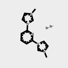 Cn1cc[n+](-c2cccc(-[n+]3ccn(C)c3)n2)c1.[Br-].[Br-]